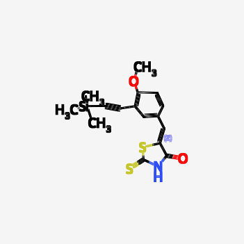 COc1ccc(/C=C2\SC(=S)NC2=O)cc1C#C[Si](C)(C)C